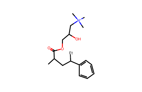 CCC(CC(C)C(=O)OCC(O)C[N+](C)(C)C)c1ccccc1